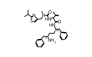 C=C(C)[C@H](NC(=O)N(C)Cc1csc(C(C)C)n1)C(=O)N[C@H](CC[C@@H](N)Cc1ccccc1)Cc1ccccc1